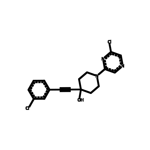 OC1(C#Cc2cccc(Cl)c2)CCN(c2cncc(Cl)n2)CC1